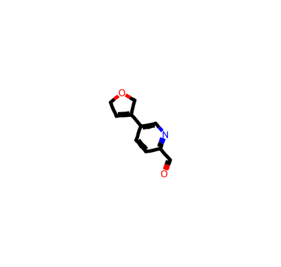 O=Cc1ccc(C2=CCOC2)cn1